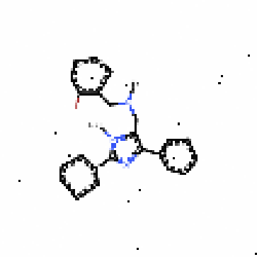 CCCCn1c(-c2ccccc2)nc(-c2ccccc2)c1CN(CC)Cc1ccccc1Br